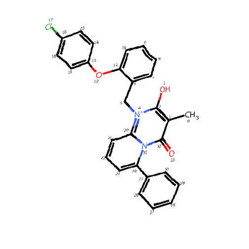 Cc1c(O)[n+](Cc2ccccc2Oc2ccc(Cl)cc2)c2cccc(-c3ccccc3)n2c1=O